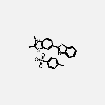 Cc1ccc(S(=O)(=O)[O-])cc1.Cc1sc2cc(-c3nc4ccccc4s3)ccc2[n+]1C